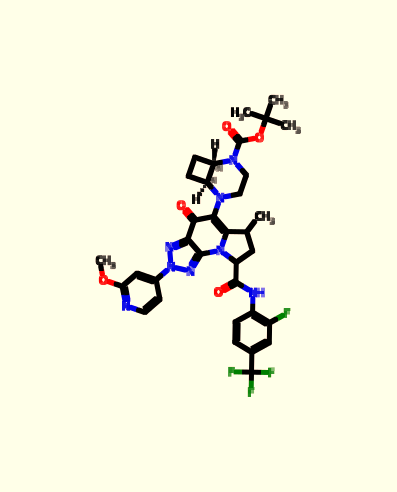 COc1cc(-n2nc3c(=O)c(N4CCN(C(=O)OC(C)(C)C)[C@H]5CC[C@@H]54)c4n(c3n2)C(C(=O)Nc2ccc(C(F)(F)F)cc2F)CC4C)ccn1